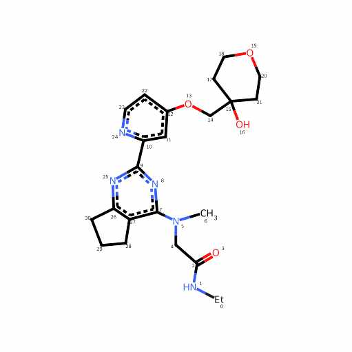 CCNC(=O)CN(C)c1nc(-c2cc(OCC3(O)CCOCC3)ccn2)nc2c1CCC2